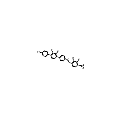 CCc1ccc(-c2ccc(-c3ccc(OCc4ccc(C5CO5)c(F)c4F)cc3)c(F)c2F)cc1